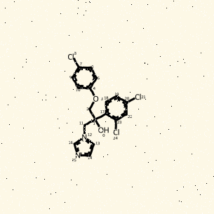 OC(COc1ccc(Cl)cc1)(Cn1ccnc1)c1ccc(Cl)cc1Cl